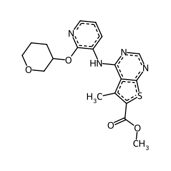 COC(=O)c1sc2ncnc(Nc3cccnc3OC3CCCOC3)c2c1C